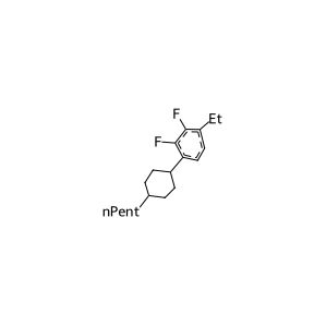 CCCCCC1CCC(c2ccc(CC)c(F)c2F)CC1